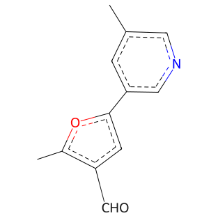 Cc1cncc(-c2cc(C=O)c(C)o2)c1